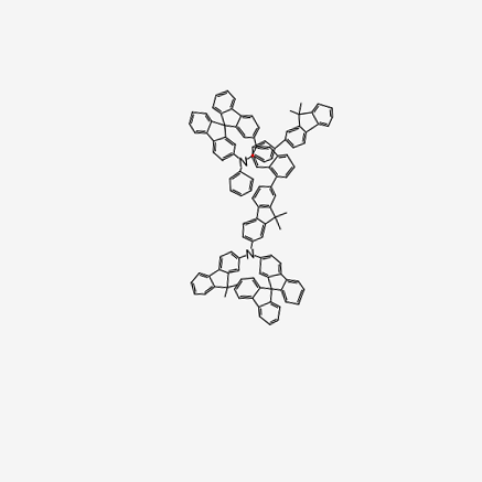 CC1(C)c2ccccc2-c2ccc(-c3ccc(N(c4ccccc4)c4ccc5c(c4)C4(c6ccccc6-c6ccc(-c7ccc8c(-c9ccc%10c(c9)C(C)(C)c9cc(N(c%11ccc%12c(c%11)C(C)(C)c%11ccccc%11-%12)c%11ccc%12c(c%11)C%11(c%13ccccc%13-c%13ccccc%13%11)c%11ccccc%11-%12)ccc9-%10)cccc8c7)cc64)c4ccccc4-5)cc3)cc21